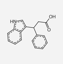 O=C(O)CC(c1ccccc1)c1c[nH]c2ccccc12